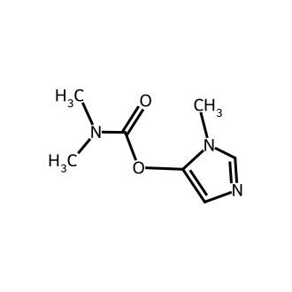 CN(C)C(=O)Oc1cncn1C